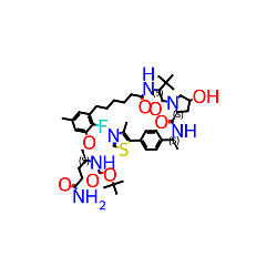 Cc1cc(CCCCCC(=O)N[C@H](C(=O)N2CC(O)C[C@H]2C(=O)N[C@@H](C)c2ccc(-c3scnc3C)cc2)C(C)(C)C)c(F)c(OC[C@H](CCC(N)=O)NC(=O)OC(C)(C)C)c1